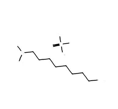 CCCCCCCCCCCCCCCCCCN(CCCCCCCC)CCCCCCCC.O=P(O)(O)O